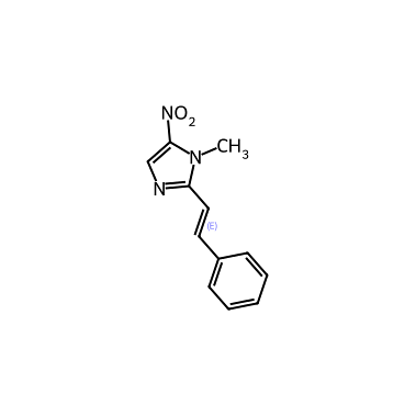 Cn1c([N+](=O)[O-])cnc1/C=C/c1ccccc1